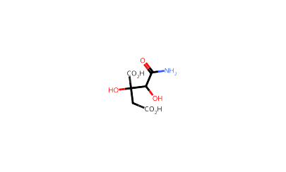 NC(=O)C(O)C(O)(CC(=O)O)C(=O)O